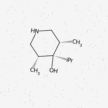 CC(C)[C@]1(O)[C@H](C)CNC[C@@H]1C